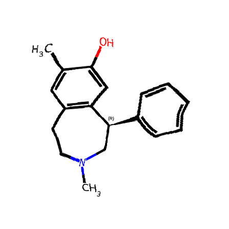 Cc1cc2c(cc1O)[C@@H](c1ccccc1)CN(C)CC2